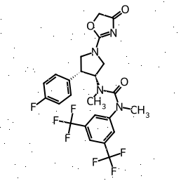 CN(C(=O)N(C)[C@@H]1CN(C2=NC(=O)CO2)C[C@H]1c1ccc(F)cc1)c1cc(C(F)(F)F)cc(C(F)(F)F)c1